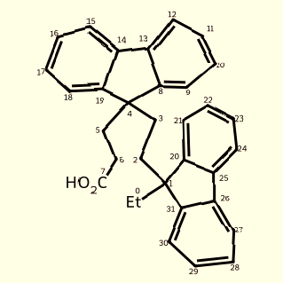 CCC1(CCC2(CCC(=O)O)c3ccccc3-c3ccccc32)c2ccccc2-c2ccccc21